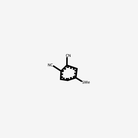 CSc1ccc(C#N)c(C#N)c1